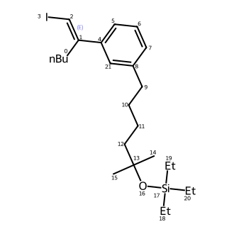 CCCC/C(=C\I)c1cccc(CCCCC(C)(C)O[Si](CC)(CC)CC)c1